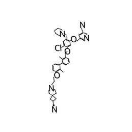 Cc1c(COc2cc(OCc3cncc(C#N)c3)c(CN3CCCCC3)cc2Cl)cccc1-c1cccc(OCCCN2CCC3(CC2)CC(C#N)C3)c1C